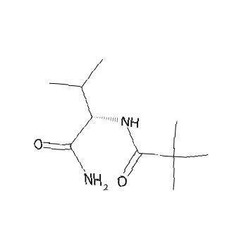 CC(C)[C@H](NC(=O)C(C)(C)C)C(N)=O